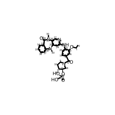 CCOc1cc(C(=O)N2CCC[C@H](OP(=O)(O)O)C2)ccc1Nc1cc2c(cn1)N(C)C(=O)c1ccccc1N2C